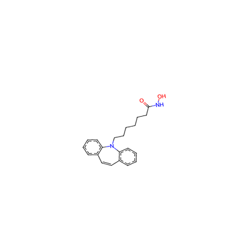 O=C(CCCCCCN1c2ccccc2C=Cc2ccccc21)NO